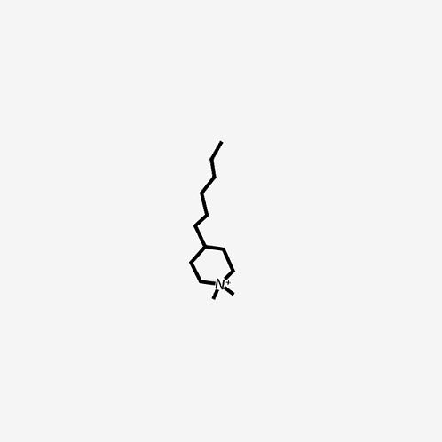 CCCCCCC1CC[N+](C)(C)CC1